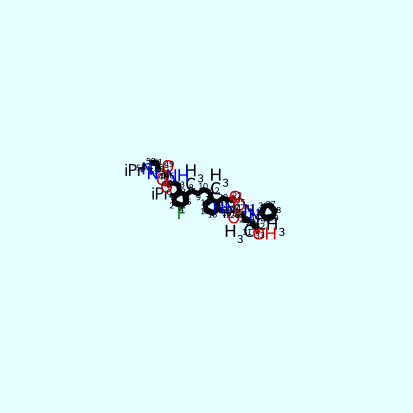 CC(C)c1cc(F)cc(C(C)CCC(C)c2cccc(C(C)C)c2CC(=O)NS(=O)(=O)c2cc(C(C)(C)O)n(-c3ccccc3)n2)c1CC(=O)NS(=O)(=O)c1ccn(C(C)C)n1